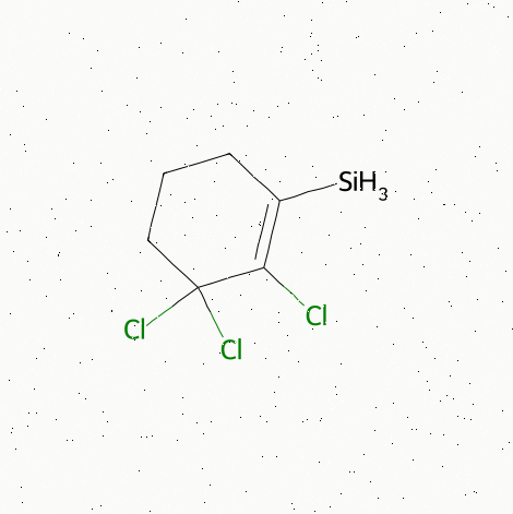 [SiH3]C1=C(Cl)C(Cl)(Cl)CCC1